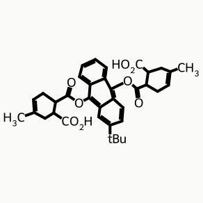 CC1=CCC(C(=O)Oc2c3ccccc3c(OC(=O)C3CC=C(C)CC3C(=O)O)c3cc(C(C)(C)C)ccc23)C(C(=O)O)C1